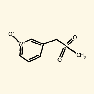 CS(=O)(=O)Cc1ccc[n+]([O-])c1